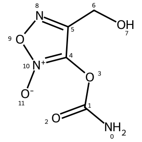 NC(=O)Oc1c(CO)no[n+]1[O-]